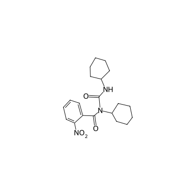 O=C(NC1CCCCC1)N(C(=O)c1ccccc1[N+](=O)[O-])C1CCCCC1